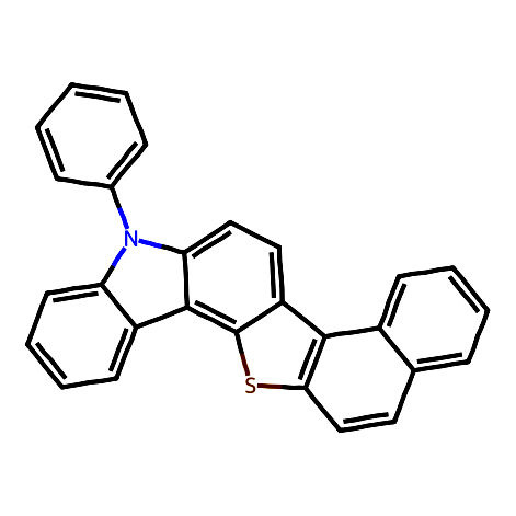 c1ccc(-n2c3ccccc3c3c4sc5ccc6ccccc6c5c4ccc32)cc1